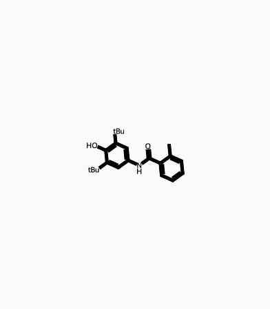 Cc1ccccc1C(=O)Nc1cc(C(C)(C)C)c(O)c(C(C)(C)C)c1